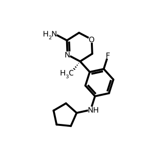 C[C@@]1(c2cc(NC3CCCC3)ccc2F)COCC(N)=N1